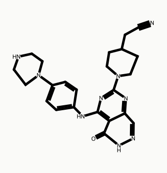 N#CCC1CCN(c2nc(Nc3ccc(N4CCNCC4)cc3)c3c(=O)[nH]ncc3n2)CC1